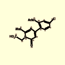 CSc1nc(-c2ccc(Cl)cc2NC(C)=O)cc(=O)n1CC(=O)O